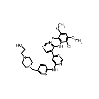 COc1cc(OC)c(Cl)c(Nc2ncncc2-c2cc(Nc3ccc(CN4CCN(CCO)CC4)cn3)ncn2)c1F